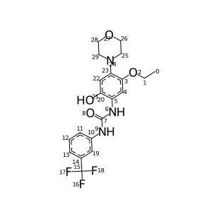 CCOc1cc(NC(=O)Nc2cccc(C(F)(F)F)c2)c(O)cc1N1CCOCC1